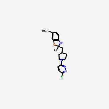 CCC1(CC2CCN(c3ccc(Cl)nn3)CC2)Nc2ccc(C(=O)O)cc2S1